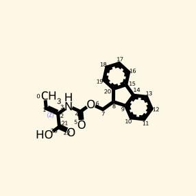 C/C=C(\NC(=O)OCC1c2ccccc2-c2ccccc21)C(=O)O